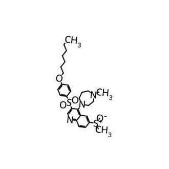 CCCCCCCOc1ccc(S(=O)(=O)c2cnc3ccc([S+](C)[O-])cc3c2N2CCCN(C)CC2)cc1